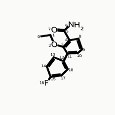 CCOc1c(C(N)=O)cccc1-c1ccc(F)cc1